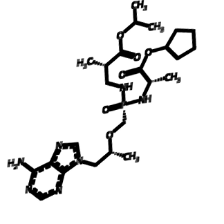 CC(C)OC(=O)[C@@H](C)CN[P@@](=O)(CO[C@H](C)Cn1cnc2c(N)ncnc21)N[C@@H](C)C(=O)OC1CCCC1